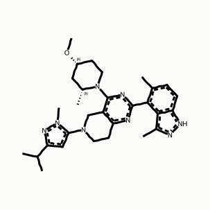 CO[C@@H]1CCN(c2nc(-c3c(C)ccc4[nH]nc(C)c34)nc3c2CN(c2cc(C(C)C)nn2C)CC3)[C@H](C)C1